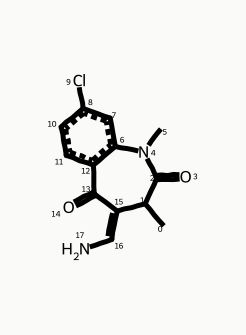 CC1C(=O)N(C)c2cc(Cl)ccc2C(=O)C1=CN